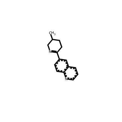 CC1CCC(c2ccc3ncccc3c2)=NC1